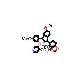 CCCOc1ccc2c(c1)C(c1ccc(OC)cc1Oc1cnccc1C(=O)O)C(OC(=O)O)C2c1ccc2c(c1)OCO2